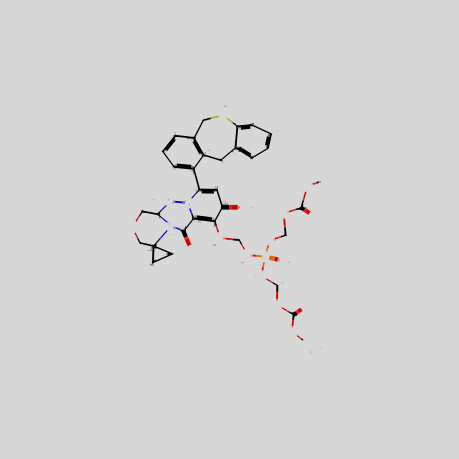 COC(=O)OCOP(=O)(OCOC(=O)OC)OCOc1c2n(c(-c3cccc4c3Cc3ccccc3SC4)cc1=O)N[C@@H]1COCC3(CC3)N1C2=O